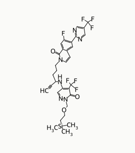 C#CC(CCCn1ccc2cc(-c3ncc(C(F)(F)F)cn3)c(F)cc2c1=O)Nc1cnn(COCC[Si](C)(C)C)c(=O)c1C(F)(F)F